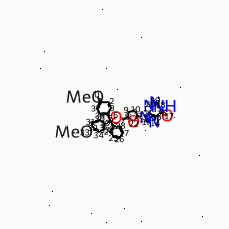 COc1ccc(C(OCC2CCC(n3cnc4c(=O)[nH]nnc43)O2)(c2ccccc2)c2ccc(OC)cc2)cc1